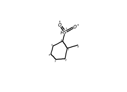 CC1CCCCC1[SH](=O)=O